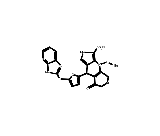 CCCCON1C2=C(C(=O)CNC2)C(c2ccc(Sc3nc4cccnc4[nH]3)o2)c2c[nH]c(C(=O)OCC)c21